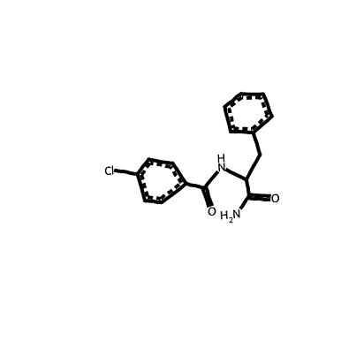 NC(=O)C(Cc1ccccc1)NC(=O)c1ccc(Cl)cc1